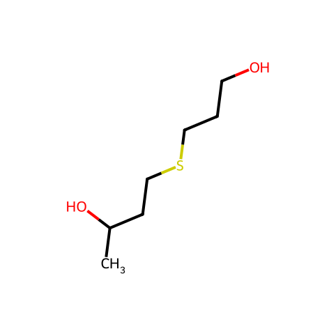 CC(O)CCSCCCO